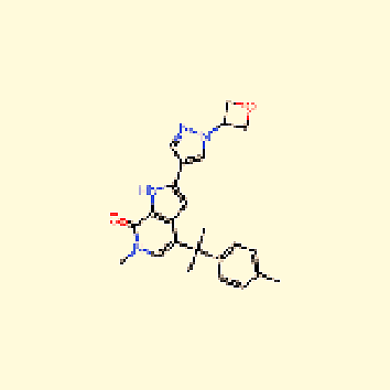 Cc1ccc(C(C)(C)c2cn(C)c(=O)c3[nH]c(-c4cnn(C5COC5)c4)cc23)cc1